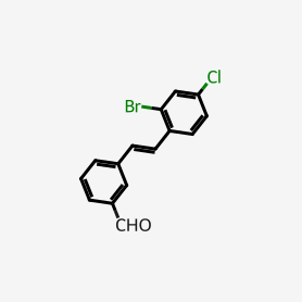 O=Cc1cccc(C=Cc2ccc(Cl)cc2Br)c1